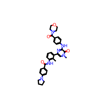 Cc1c(NC(=O)c2ccc(N3CCCC3)cc2)cccc1-c1cn(C)c(=O)c(Nc2ccc(C(=O)N3CCOCC3)cc2)n1